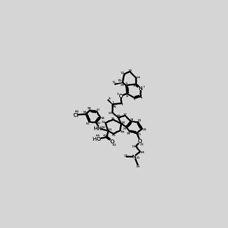 C[C@@H](COc1ccnc2c1[C@@H](C)CCC2)CC1Cc2ccc(OCCN(C)C)cc2C12CCC(Nc1cccc(Cl)c1)(C(=O)O)CC2